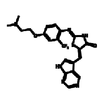 CN(C)CCOc1ccc(/N=C2/NC(=O)/C(=C/c3c[nH]c4ncncc34)S2)c(C(F)(F)F)c1